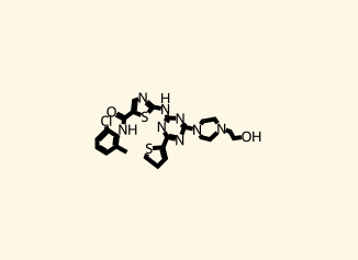 Cc1cccc(Cl)c1NC(=O)c1cnc(Nc2nc(C3=CCCS3)nc(N3CCN(CCO)CC3)n2)s1